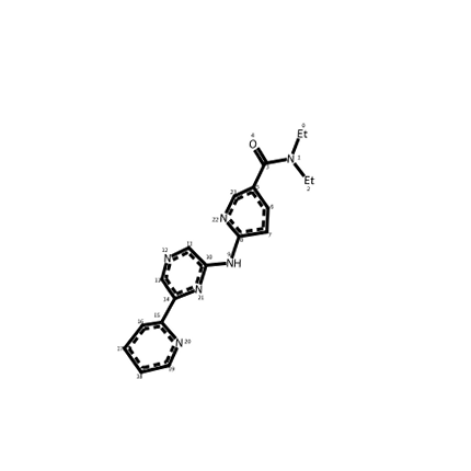 CCN(CC)C(=O)c1ccc(Nc2cncc(-c3ccccn3)n2)nc1